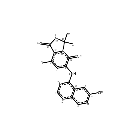 Cc1cc(Nc2ncnc3ccc(Cl)cc23)c(=O)n2c1C(=O)NC2(C)C